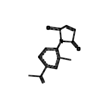 C=C(C)c1ccc(N2C(=O)C=CC2=O)c(C)c1